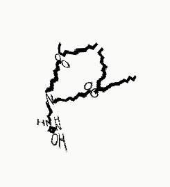 CCCCCCCCC(CC)OC(=O)CCCCCCCN(CCCCCCCC(=O)OC(CCCCCCCC)CCCCCCCC)CCCCNC1=C(NC)C(O)C1